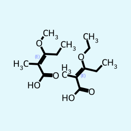 CC/C(OC)=C(/C)C(=O)O.CCO/C(CC)=C(\C)C(=O)O